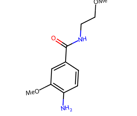 COCCNC(=O)c1ccc(N)c(OC)c1